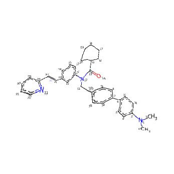 CN(C)c1ccc(-c2ccc(CN(C(=O)C3CCCCC3)c3cccc(/C=C/c4ccccn4)c3)cc2)cc1